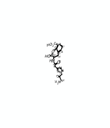 NNC(=O)Cn1nnc(CC(=O)NC2Cc3cccc(C(=O)O)c3OB2O)n1